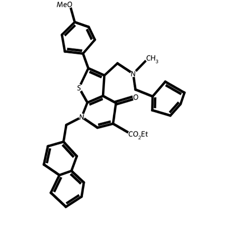 CCOC(=O)c1cn(Cc2ccc3ccccc3c2)c2sc(-c3ccc(OC)cc3)c(CN(C)Cc3ccccc3)c2c1=O